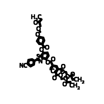 C=CC(=O)COCOc1ccc(C(=O)Oc2ccc(OC(=O)c3ccc(C(=O)OCOC(=O)C=C)c(C(=O)OCOC(=O)C=C)c3)c3nc(-c4ccc(C#N)cc4)sc23)cc1